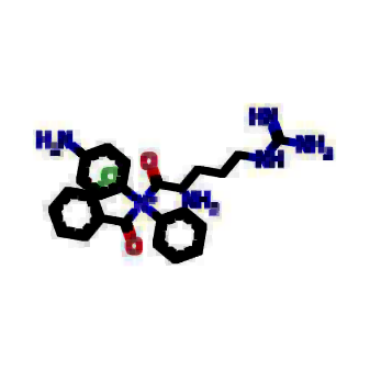 N=C(N)NCCCC(N)C(=O)[N+](C(=O)c1ccccc1Cl)(c1ccccc1)c1ccc(N)cc1